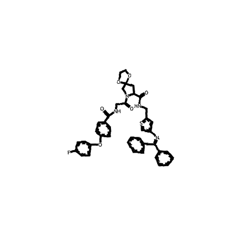 O=C(NCC(=O)N1CC2(CC1C(=O)NCc1cc(N=C(c3ccccc3)c3ccccc3)cs1)OCCO2)c1ccc(Oc2ccc(F)cc2)cc1